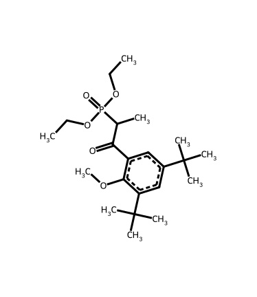 CCOP(=O)(OCC)C(C)C(=O)c1cc(C(C)(C)C)cc(C(C)(C)C)c1OC